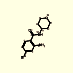 Nc1cc(Br)ccc1C(=O)NC1CCOCC1